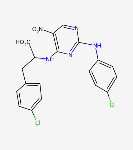 O=C(O)C(Cc1ccc(Cl)cc1)Nc1nc(Nc2ccc(Cl)cc2)ncc1[N+](=O)[O-]